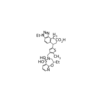 CCC1CN(Cc2cc(C(CC(=O)O)c3ccc4c(nnn4CC)c3C)sc2C)S(O)(O)c2cccnc2O1